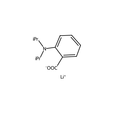 CC(C)N(c1ccccc1C(=O)[O-])C(C)C.[Li+]